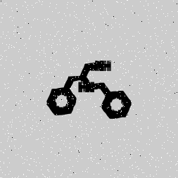 N=C[C@H](Cc1ccccc1)NCc1ccccc1